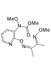 CON=C(C)C(C)=NOc1ncccc1N(OC)C(=O)OC